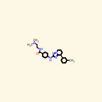 Cc1cccc(-c2cccn3nc(Nc4ccc(C(=O)NCCN(C)C)cc4)nc23)c1